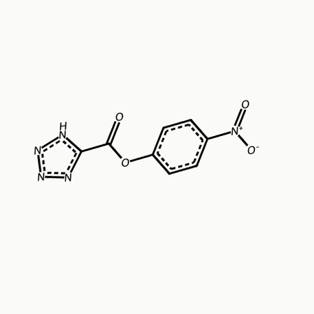 O=C(Oc1ccc([N+](=O)[O-])cc1)c1nnn[nH]1